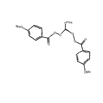 [CH2]CCCC[C](OOC(=O)c1ccc(OC)cc1)OOC(=O)c1ccc(OC)cc1